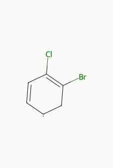 ClC1=C(Br)C[CH]C=C1